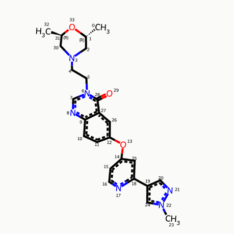 C[C@@H]1CN(CCn2cnc3ccc(Oc4ccnc(-c5cnn(C)c5)c4)cc3c2=O)C[C@@H](C)O1